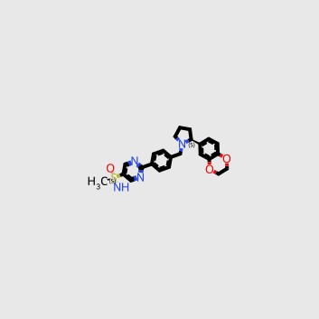 C[S@](=N)(=O)c1cnc(-c2ccc(CN3CCC[C@H]3c3ccc4c(c3)OCCO4)cc2)nc1